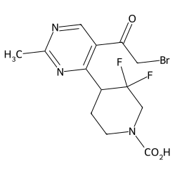 Cc1ncc(C(=O)CBr)c(C2CCN(C(=O)O)CC2(F)F)n1